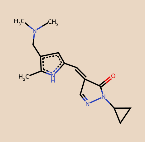 Cc1[nH]c(/C=C2\C=NN(C3CC3)C2=O)cc1CN(C)C